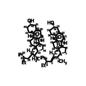 CC[C@H](/C=C/[C@@H](C)[C@H]1CC[C@H]2[C@@H]3CC=C4C[C@@H](O)CC[C@]4(C)[C@H]3CC[C@]12C)C(C)C.CC[C@H](CC[C@@H](C)[C@H]1CC[C@H]2[C@@H]3CC=C4C[C@@H](O)CC[C@]4(C)[C@H]3CC[C@]12C)C(C)C